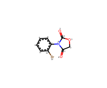 O=C1COC(=O)N1c1ccccc1Br